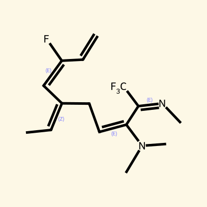 C=C/C(F)=C\C(=C/C)C/C=C(\C(=N/C)C(F)(F)F)N(C)C